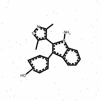 Cc1nsc(C)c1-c1c(-c2ccc(O)cc2)c2ccccc2n1N